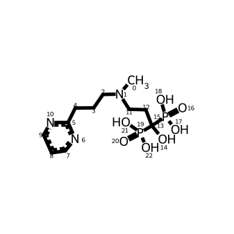 CN(CCCc1ncccn1)CCC(O)(P(=O)(O)O)P(=O)(O)O